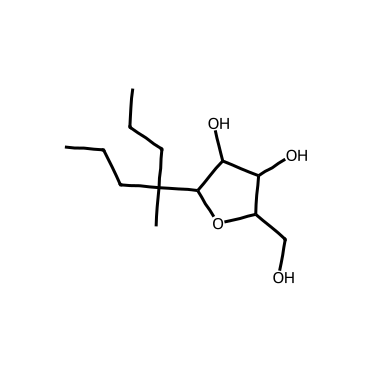 CCCC(C)(CCC)C1OC(CO)C(O)C1O